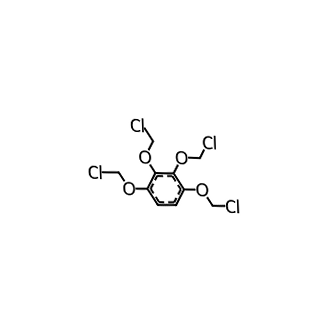 ClCOc1ccc(OCCl)c(OCCl)c1OCCl